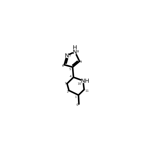 CC1CCC(c2cn[nH]c2)NC1